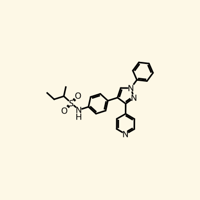 CCC(C)S(=O)(=O)Nc1ccc(-c2cn(-c3ccccc3)nc2-c2ccncc2)cc1